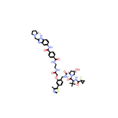 Cc1ncsc1-c1ccc(CNC(=O)[C@@H]2C[C@@H](O)CN2C(=O)[C@@H](NC(=O)C2(F)CC2)C(C)(C)C)c(OCC(=O)NCCNC(=O)c2ccc(C(=O)Nc3ccc4[nH]c(CN5CCC[C@@H]5C)nc4c3)cc2)c1